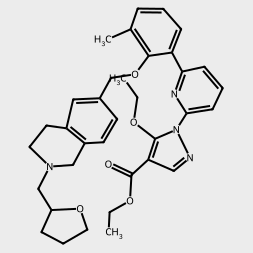 CCOC(=O)c1cnn(-c2cccc(-c3cccc(C)c3OCc3ccc4c(c3)CCN(CC3CCCO3)C4)n2)c1OCC